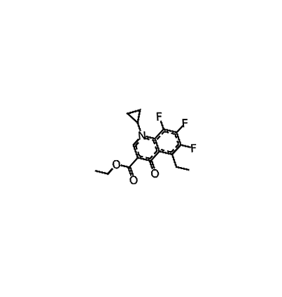 CCOC(=O)c1cn(C2CC2)c2c(F)c(F)c(F)c(CC)c2c1=O